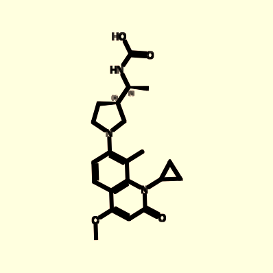 COc1cc(=O)n(C2CC2)c2c(C)c(N3CC[C@@H]([C@H](C)NC(=O)O)C3)ccc12